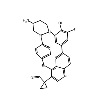 NC1CCCN(c2ccc(Nc3c(C4(C=O)CC4)cnc4ccc(-c5cc(F)c(O)c(Cl)c5)nc34)cn2)C1